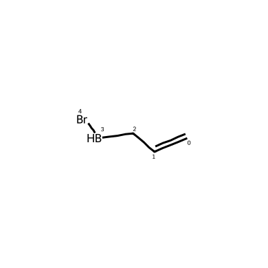 C=CCBBr